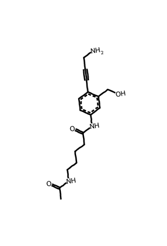 CC(=O)NCCCCC(=O)Nc1ccc(C#CCN)c(CO)c1